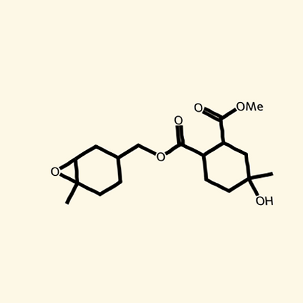 COC(=O)C1CC(C)(O)CCC1C(=O)OCC1CCC2(C)OC2C1